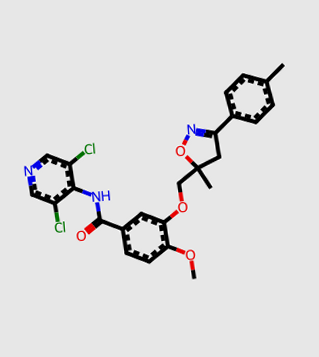 COc1ccc(C(=O)Nc2c(Cl)cncc2Cl)cc1OCC1(C)CC(c2ccc(C)cc2)=NO1